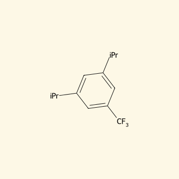 [CH2]C(C)c1cc(C(C)C)cc(C(F)(F)F)c1